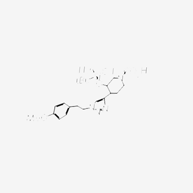 COc1ccc(CCn2cc(C3CCN(C(=O)O)CC3O[Si](C)(C)C(C)(C)C)nn2)cc1